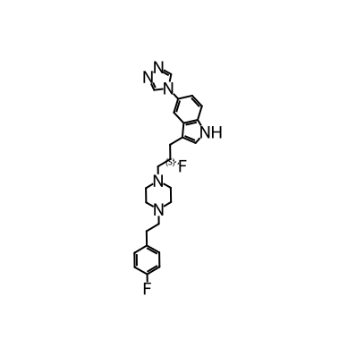 Fc1ccc(CCN2CCN(C[C@@H](F)Cc3c[nH]c4ccc(-n5cnnc5)cc34)CC2)cc1